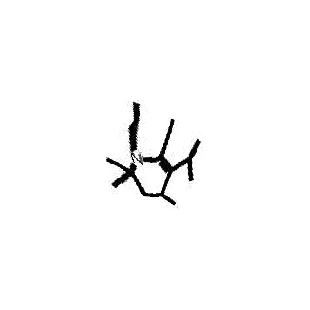 CCN1C(C)=C(C(C)C)C(C)CC1(C)C